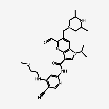 COCCNc1cc(NC(=O)c2cn(C(C)C)c3cc(CN4CC(C)NC(C)C4)c(C=O)nc23)ncc1C#N